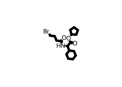 O=C(CCCBr)N[C@@H](C(=O)OC1CCCC1)C1CCCCC1